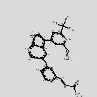 COc1cc(-c2c[nH]c3ncc(-c4cccc(C=CC(N)=O)c4)cc23)cc(C(F)(F)F)n1